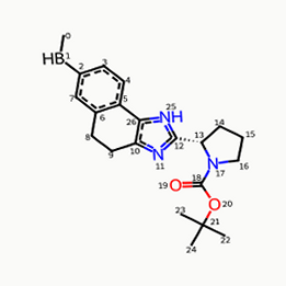 CBc1ccc2c(c1)CCc1nc([C@@H]3CCCN3C(=O)OC(C)(C)C)[nH]c1-2